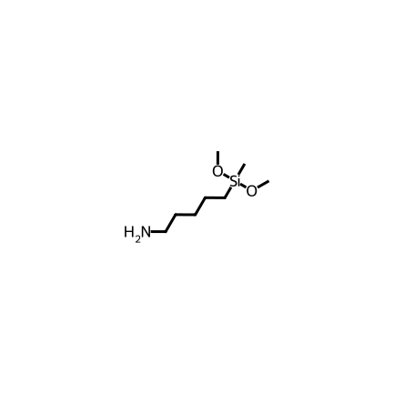 CO[Si](C)(CCCCCN)OC